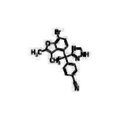 Cc1oc2c(Br)ccc(C(F)(c3ccc(C#N)cc3)c3nc[nH]n3)c2c1C